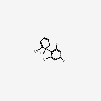 Cc1cc(C)c(C2(C)CC=CC=C2N)c(C)c1